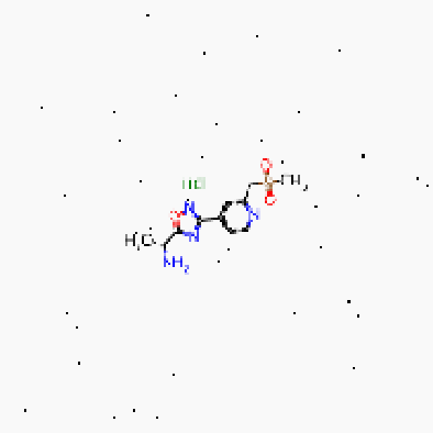 C[C@@H](N)c1nc(-c2ccnc(CS(C)(=O)=O)c2)no1.Cl